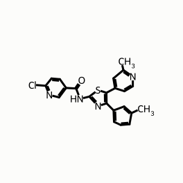 Cc1cccc(-c2nc(NC(=O)c3ccc(Cl)nc3)sc2-c2ccnc(C)c2)c1